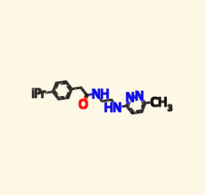 Cc1ccc(NCCNC(=O)Cc2ccc(C(C)C)cc2)nn1